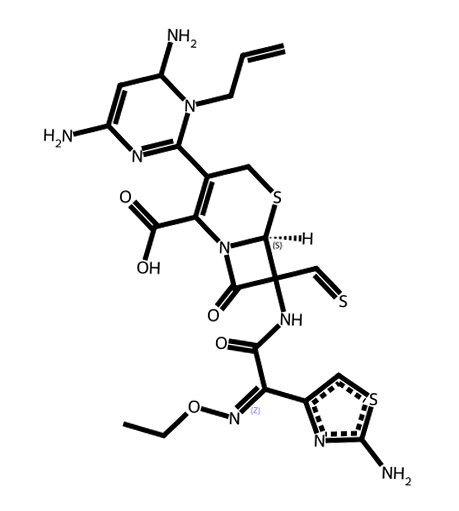 C=CCN1C(C2=C(C(=O)O)N3C(=O)C(C=S)(NC(=O)/C(=N\OCC)c4csc(N)n4)[C@@H]3SC2)=NC(N)=CC1N